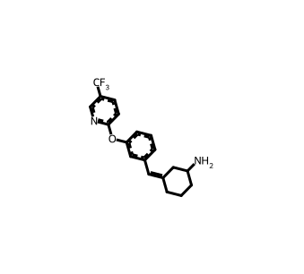 NC1CCCC(=Cc2cccc(Oc3ccc(C(F)(F)F)cn3)c2)C1